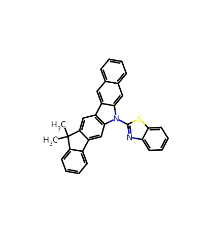 CC1(C)c2ccccc2-c2cc3c(cc21)c1cc2ccccc2cc1n3-c1nc2ccccc2s1